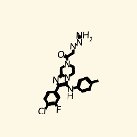 Cc1ccc(Nc2c(-c3ccc(Cl)c(F)c3)nc3n2CCN(C(=O)CN=NN)C3)cc1